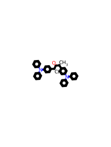 CC(C(=O)C(C)c1ccc(N(c2ccccc2)c2ccccc2)cc1)c1ccc(N(c2ccccc2)c2ccccc2)cc1